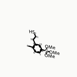 CO[Si](OC)(OC)c1ccc(C)c(CCS)c1